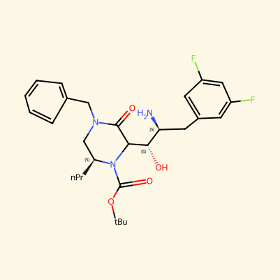 CCC[C@H]1CN(Cc2ccccc2)C(=O)C([C@@H](O)[C@@H](N)Cc2cc(F)cc(F)c2)N1C(=O)OC(C)(C)C